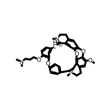 COc1cc2c3c4c1Oc1cc5c(cc1O4)[C@H](Cc1ccc(OCCCN(C)C)c(c1)Oc1ccc(cc1)CC3N(C)CC2)N(C)CC5